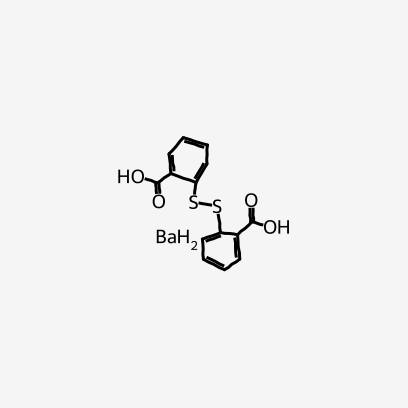 O=C(O)c1ccccc1SSc1ccccc1C(=O)O.[BaH2]